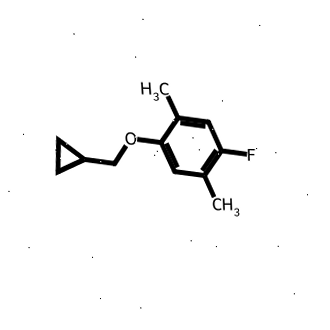 Cc1cc(OCC2CC2)c(C)cc1F